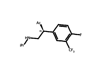 CC(=O)[C@H](CNC(C)C)c1ccc(F)c(C(F)(F)F)c1